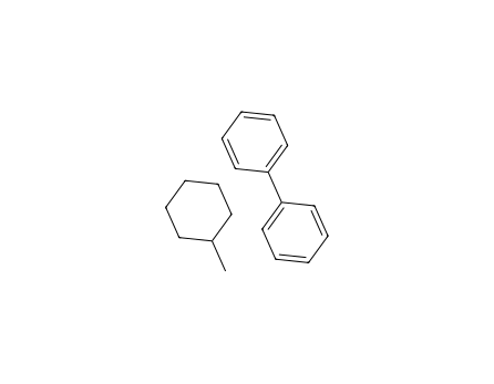 CC1CCCCC1.c1ccc(-c2ccccc2)cc1